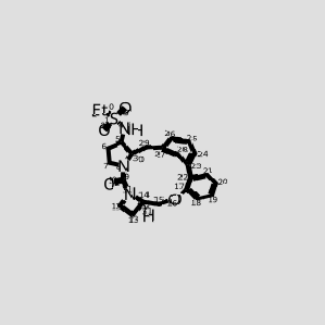 CCS(=O)(=O)NC1CCN2C(=O)N3CC[C@@H]3COc3ccccc3-c3cccc(c3)CC12